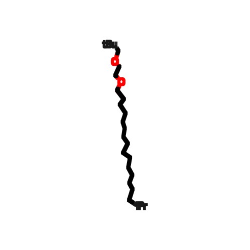 CC(C)CCCCCCCCCCCCCCCOCCOCC(C)(C)C